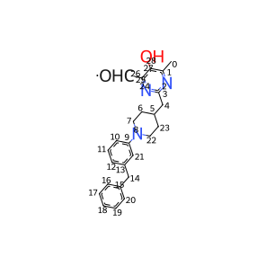 Cc1nc(CC2CCN(c3cccc(Cc4ccccc4)c3)CC2)nc([C]=O)c1O